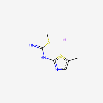 CSC(=N)Nc1ncc(C)s1.I